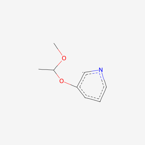 COC(C)Oc1[c]nccc1